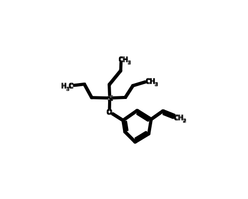 C=Cc1cccc(O[Si](CCC)(CCC)CCC)c1